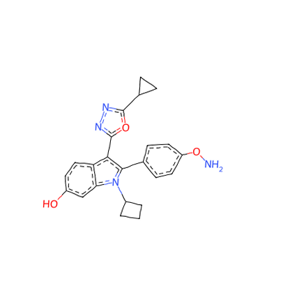 NOc1ccc(-c2c(-c3nnc(C4CC4)o3)c3ccc(O)cc3n2C2CCC2)cc1